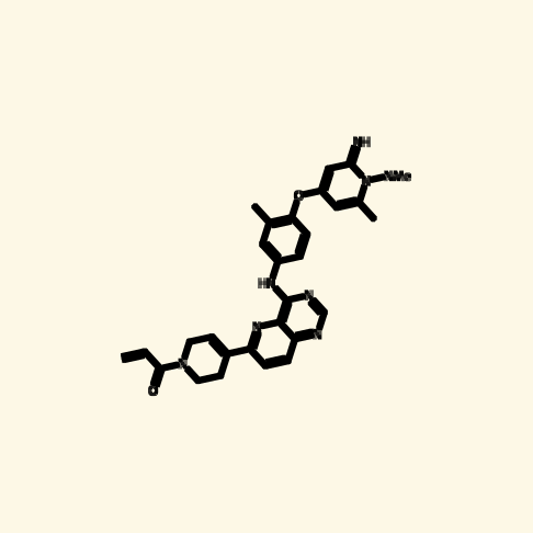 C=CC(=O)N1CC=C(c2ccc3ncnc(Nc4ccc(Oc5cc(C)n(NC)c(=N)c5)c(C)c4)c3n2)CC1